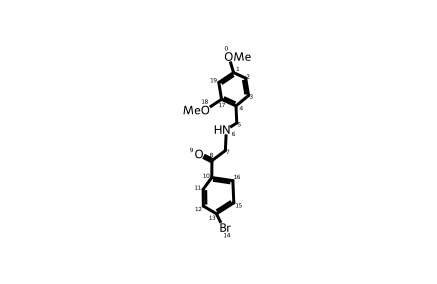 COc1ccc(CNCC(=O)c2ccc(Br)cc2)c(OC)c1